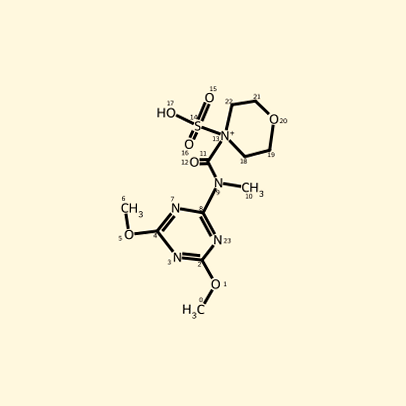 COc1nc(OC)nc(N(C)C(=O)[N+]2(S(=O)(=O)O)CCOCC2)n1